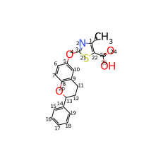 Cc1nc(Oc2ccc3c(c2)CCC(c2ccccc2)O3)sc1C(=O)O